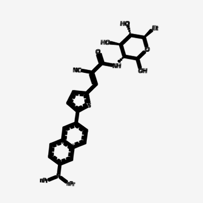 CCCN(CCC)c1ccc2cc(-c3ccc(/C=C(\C#N)C(=O)N[C@H]4C(O)O[C@H](CC)[C@@H](O)[C@@H]4O)s3)ccc2c1